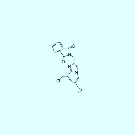 O=C1c2ccccc2C(=O)N1Cc1cn2cc(C3CC3)cc(CCl)c2n1